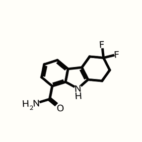 NC(=O)c1cccc2c3c([nH]c12)CCC(F)(F)C3